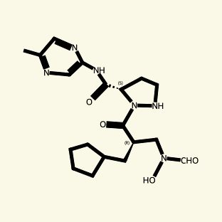 Cc1cnc(NC(=O)[C@@H]2CCNN2C(=O)[C@H](CC2CCCC2)CN(O)C=O)cn1